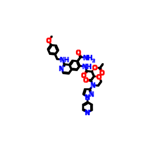 COc1ccc(CNc2nccc3cc(NC(=O)[C@H](OC(C)=O)[C@H]4OCCN(c5ccn(-c6ccncc6)n5)C4=O)c(C(N)=O)cc23)cc1